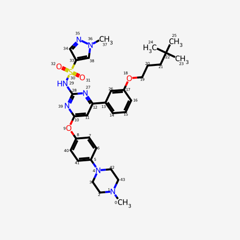 CN1CCN(c2ccc(Oc3cc(-c4cccc(OCCCC(C)(C)C)c4)nc(NS(=O)(=O)c4cnn(C)c4)n3)cc2)CC1